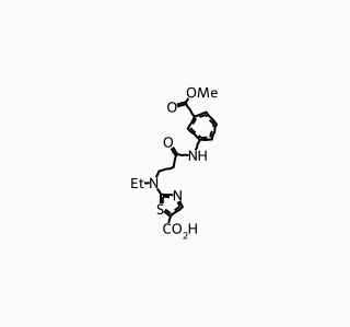 CCN(CCC(=O)Nc1cccc(C(=O)OC)c1)c1ncc(C(=O)O)s1